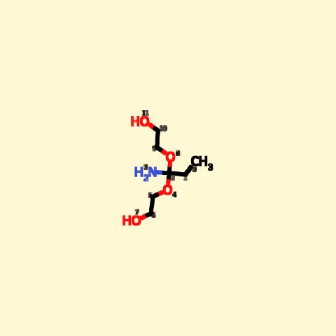 CCC(N)(OCCO)OCCO